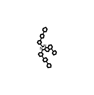 c1ccc(-c2ccc(-c3cccc(-c4nc(-c5cccc(-c6ccc(-c7ccccc7)cc6)c5)c5ccc6c(-c7ccccc7)cccc6c5n4)c3)cc2)cc1